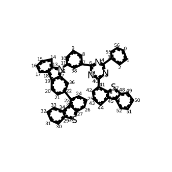 c1ccc(-c2nc(-c3cccc(-n4c5ccccc5c5ccc(-c6cccc7sc8ccccc8c67)cc54)c3)nc(-c3cccc4c3sc3ccccc34)n2)cc1